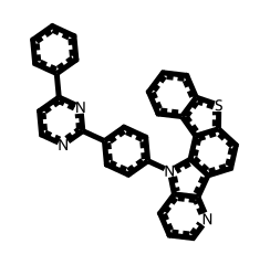 c1ccc(-c2ccnc(-c3ccc(-n4c5cccnc5c5ccc6sc7ccccc7c6c54)cc3)n2)cc1